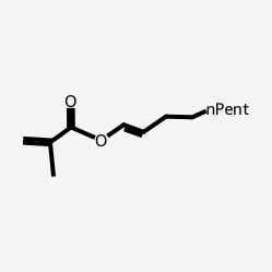 C=C(C)C(=O)OC=CCCCCCCC